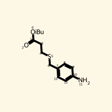 CC(C)COC(=O)CCSCc1ccc(N)cc1